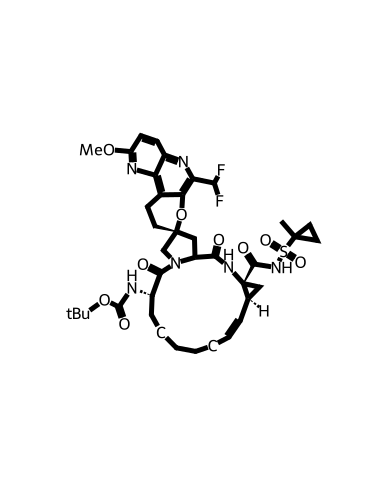 COc1ccc2nc(C(F)F)c3c(c2n1)CC[C@]1(CC2C(=O)N[C@]4(C(=O)NS(=O)(=O)C5(C)CC5)C[C@H]4/C=C\CCCCC[C@H](NC(=O)OC(C)(C)C)C(=O)N2C1)O3